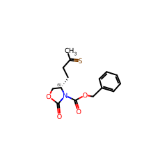 CC(=S)CC[C@H]1COC(=O)N1C(=O)OCc1ccccc1